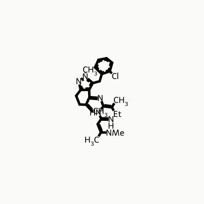 C/C=C1/CCc2nn(C)c(Cc3ccccc3Cl)c2/C1=N/C(NC(=N)/C=C(/C)NC)=C(\C)CC